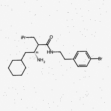 CC(C)CC(C(=O)NCCc1ccc(Br)cc1)[C@H](N)CC1CCCCC1